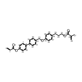 C=CC(=O)Oc1ccc(-c2ccc(COc3ccc(CCCOC(=O)C(=C)C)cc3)cc2)cc1